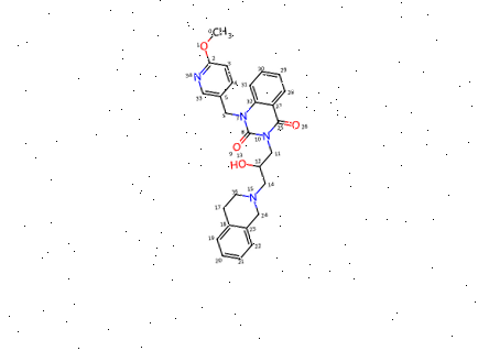 COc1ccc(Cn2c(=O)n(CC(O)CN3CCc4ccccc4C3)c(=O)c3ccccc32)cn1